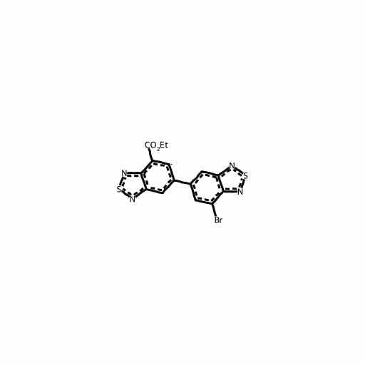 CCOC(=O)c1[c]c(-c2cc(Br)c3nsnc3c2)cc2nsnc12